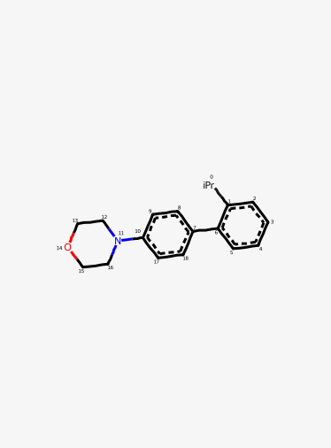 CC(C)c1ccccc1-c1ccc(N2CCOCC2)cc1